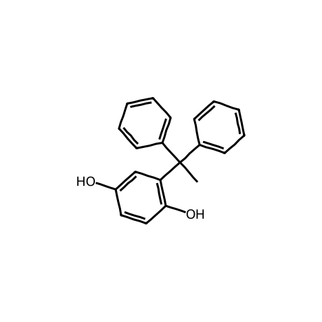 CC(c1ccccc1)(c1ccccc1)c1cc(O)ccc1O